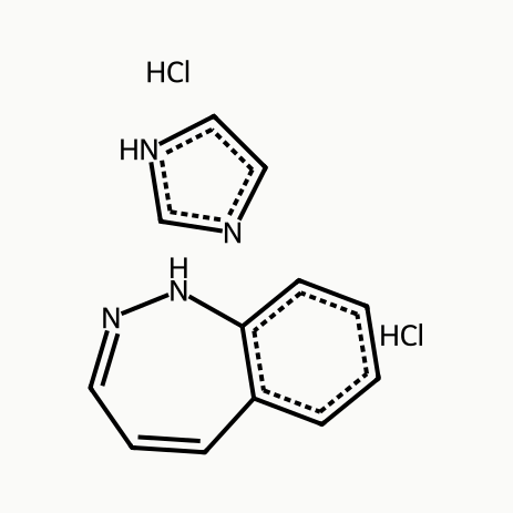 C1=Cc2ccccc2NN=C1.Cl.Cl.c1c[nH]cn1